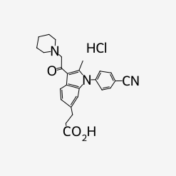 Cc1c(C(=O)CN2CCCCC2)c2ccc(CCC(=O)O)cc2n1-c1ccc(C#N)cc1.Cl